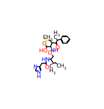 CCC(C)C(CONC(C(=O)O)C(CSC)C(=O)C(C)c1ccccc1)NC(=O)Cc1c[nH]cn1